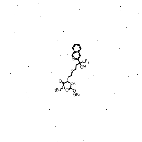 CC(C)(C)OC(=O)N[C@@H](CCSCCC(O)(c1cc2ccccc2cn1)C(F)(F)F)C(=O)OC(C)(C)C